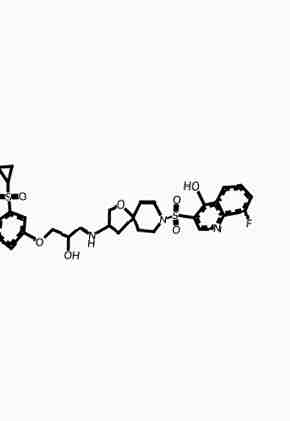 O=S(=O)(c1cccc(OCC(O)CNC2COC3(CCN(S(=O)(=O)c4cnc5c(F)cccc5c4O)CC3)C2)c1)C1CC1